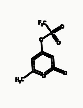 Cc1cc(OS(=O)(=O)C(F)(F)F)cc(=O)o1